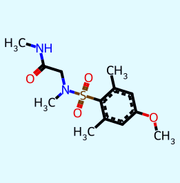 CNC(=O)CN(C)S(=O)(=O)c1c(C)cc(OC)cc1C